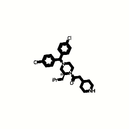 CC(C)C[C@H]1CN(C(c2ccc(Cl)cc2)c2ccc(Cl)cc2)CCN1C(=O)CC1CCNCC1